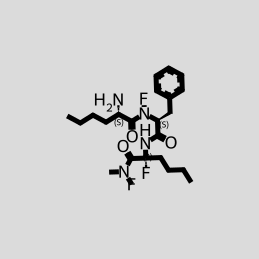 CCCC[C@H](N)C(=O)N(F)[C@@H](Cc1ccccc1)C(=O)N[C@@](F)(CCCC)C(=O)N(C)F